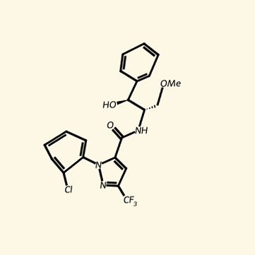 COC[C@H](NC(=O)c1cc(C(F)(F)F)nn1-c1ccccc1Cl)[C@@H](O)c1ccccc1